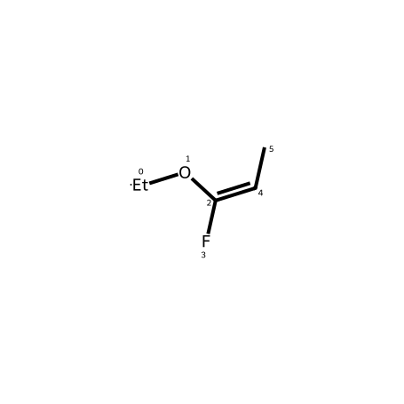 C[CH]O/C(F)=C\C